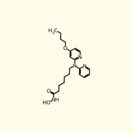 CCCCOc1ccnc(N(CCCCCCC(=O)NO)c2ccccn2)c1